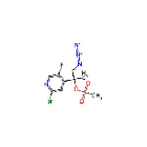 CC(CN=[N+]=[N-])(OS(C)(=O)=O)c1cc(Br)ncc1F